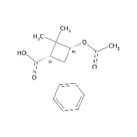 CC(=O)O[C@@H]1C[C@H](C(=O)O)C1(C)C.c1ccccc1